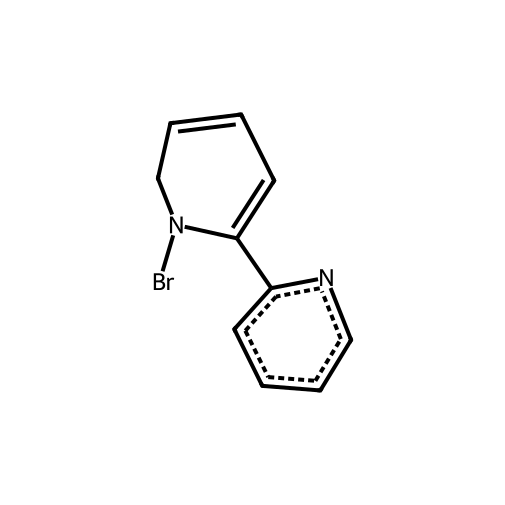 BrN1CC=CC=C1c1ccccn1